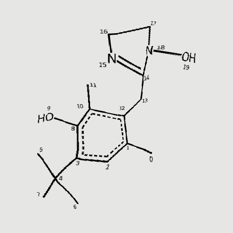 Cc1cc(C(C)(C)C)c(O)c(C)c1CC1=NCCN1O